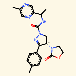 Cc1ccc(C2=NN(C(=O)NC(C)c3cnc(C)cn3)C[C@@H]2N2CCOC2=O)cc1